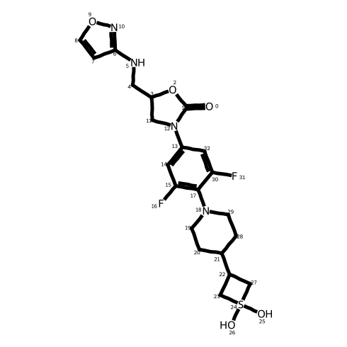 O=C1OC(CNc2ccon2)CN1c1cc(F)c(N2CCC(C3CS(O)(O)C3)CC2)c(F)c1